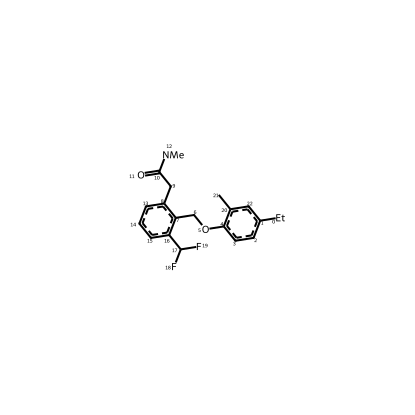 CCc1ccc(OCc2c(CC(=O)NC)cccc2C(F)F)c(C)c1